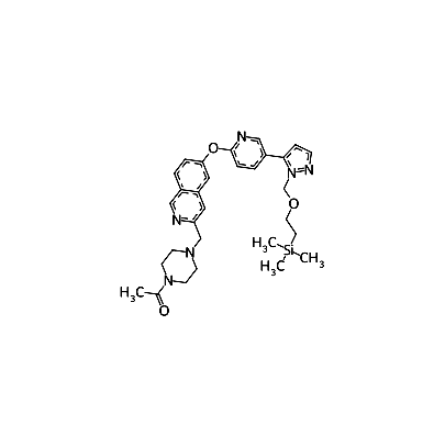 CC(=O)N1CCN(Cc2cc3cc(Oc4ccc(-c5ccnn5COCC[Si](C)(C)C)cn4)ccc3cn2)CC1